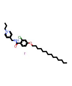 CCCCCCCCCCCCCCOc1ccc(C(=O)NCc2cc[n+](CCC)cc2)c(Cl)c1.[I-]